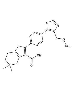 CC1(C)CCc2sc(-c3ccc(-c4scnc4CON)cc3)c(C(=O)O)c2C1